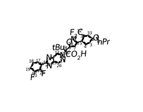 CCCOc1ccc(-c2cc(C(C(=O)O)(n3cc4nc(-c5cccc(F)c5F)nc-4cn3)C(C)(C)C)on2)c(C(F)(F)F)c1